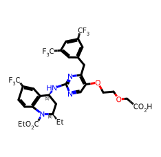 CCOC(=O)N1c2ccc(C(F)(F)F)cc2[C@@H](Nc2ncc(OCCOCC(=O)O)c(Cc3cc(C(F)(F)F)cc(C(F)(F)F)c3)n2)C[C@H]1CC